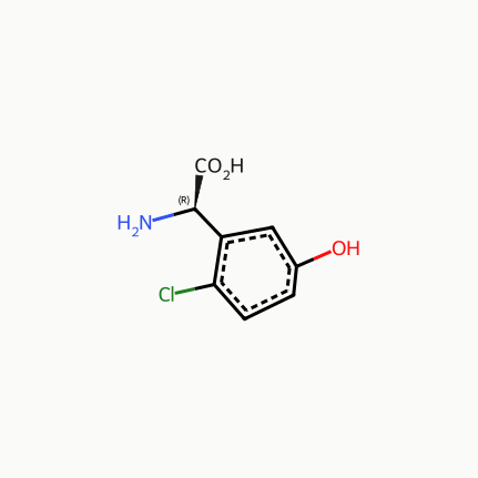 N[C@@H](C(=O)O)c1cc(O)ccc1Cl